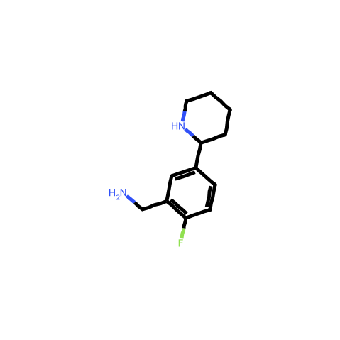 NCc1cc(C2CCCCN2)ccc1F